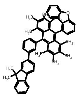 Bc1c(B)c(B)c2c(-c3cccc4oc5ccccc5c34)c3c(B)c(B)c(B)c(B)c3c(-c3cccc(-c4ccc5c(c4)C(C)(C)c4ccccc4-5)c3)c2c1B